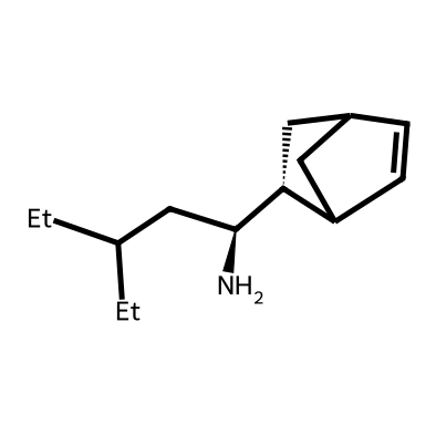 CCC(CC)C[C@H](N)[C@@H]1CC2C=CC1C2